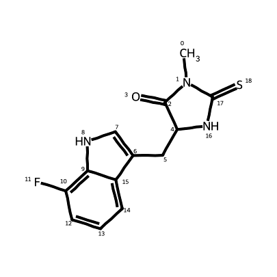 CN1C(=O)C(Cc2c[nH]c3c(F)cccc23)NC1=S